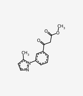 COC(=O)CC(=O)c1cccc(-n2nccc2C)c1